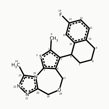 Cc1sc2c(c1C1CCCc3ccc(F)cc31)COCc1nnc(C)n1-2